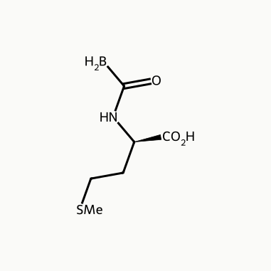 BC(=O)N[C@H](CCSC)C(=O)O